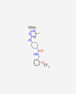 CNc1nc(C)nc(N(C)C2CCC(C(=O)NCc3ccccc3OC(F)(F)F)CC2)n1